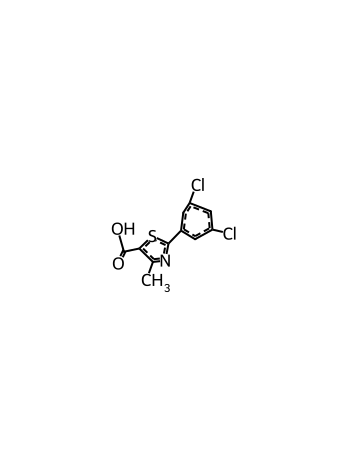 Cc1nc(-c2cc(Cl)cc(Cl)c2)sc1C(=O)O